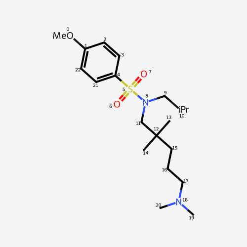 COc1ccc(S(=O)(=O)N(CC(C)C)CC(C)(C)CCCN(C)C)cc1